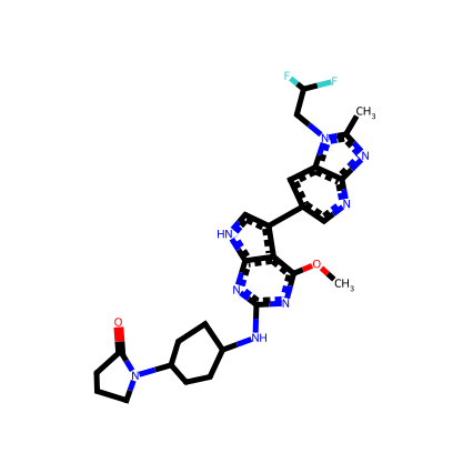 COc1nc(NC2CCC(N3CCCC3=O)CC2)nc2[nH]cc(-c3cnc4nc(C)n(CC(F)F)c4c3)c12